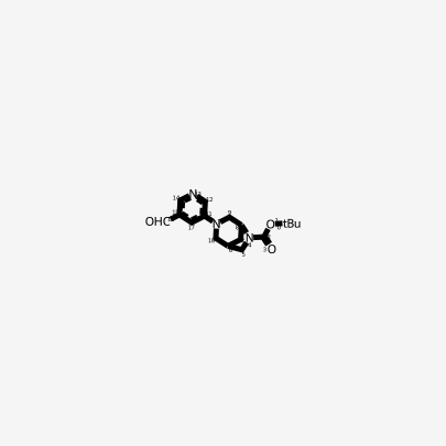 CC(C)(C)OC(=O)N1CC2CC1CN(c1cncc(C=O)c1)C2